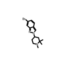 CN1CCC(n2cc3ccc(Br)cc3n2)CC1(C)C